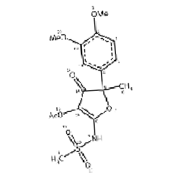 COc1ccc(C2(C)OC(NS(C)(=O)=O)=C(OC(C)=O)C2=O)cc1OC